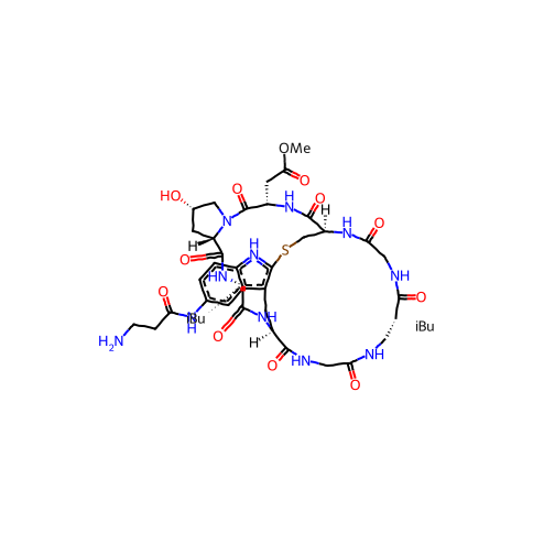 CC[C@H](C)[C@@H]1CNC(=O)CNC(=O)[C@@H]2Cc3c([nH]c4ccc(NC(=O)CCN)cc34)SC[C@H](NC(=O)CNC1=O)C(=O)N[C@@H](CC(=O)OC)C(=O)N1C[C@@H](O)C[C@H]1C(=O)N[C@@H]([C@@H](C)CC)C(=O)N2